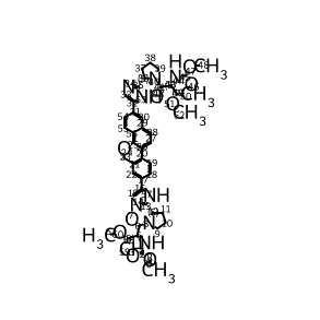 COC(=O)NC(C(=O)N1CCC[C@H]1c1ncc(-c2ccc3c(c2)COc2c-3ccc3cc(-c4cnc([C@@H]5CCCN5C(=O)[C@@H](NC(=O)OC)[C@@H](C)OC)[nH]4)ccc23)[nH]1)[C@@H](C)OC